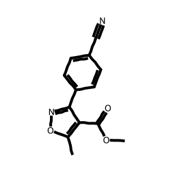 COC(=O)c1c(-c2ccc(C#N)cc2)noc1C